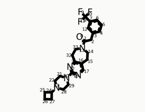 O=C(Cc1cccc(C(F)(F)F)c1)N1CCc2cnc(N3CCN(C4CCC4)CC3)nc2CC1